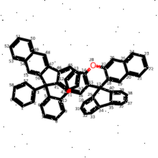 c1ccc(C2(c3ccccc3-c3ccc4c(c3)C3(c5cc6ccccc6cc5O4)c4ccccc4-c4ccccc43)c3ccccc3-c3cc4ccccc4cc32)cc1